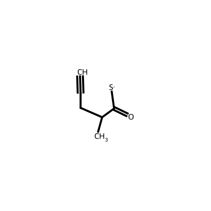 C#CCC(C)C(=O)[S]